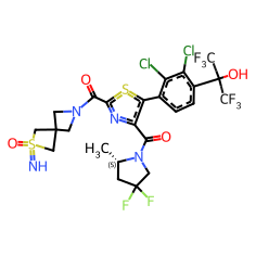 C[C@H]1CC(F)(F)CN1C(=O)c1nc(C(=O)N2CC3(C2)CS(=N)(=O)C3)sc1-c1ccc(C(O)(C(F)(F)F)C(F)(F)F)c(Cl)c1Cl